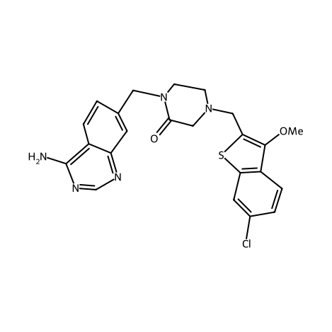 COc1c(CN2CCN(Cc3ccc4c(N)ncnc4c3)C(=O)C2)sc2cc(Cl)ccc12